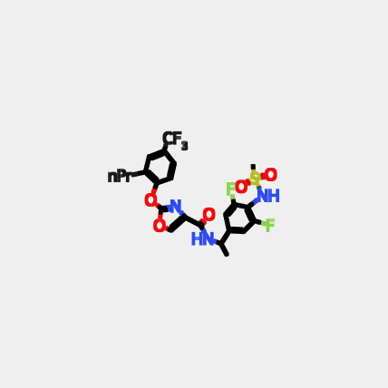 CCCc1cc(C(F)(F)F)ccc1Oc1nc(C(=O)NC(C)c2cc(F)c(NS(C)(=O)=O)c(F)c2)co1